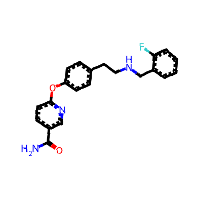 NC(=O)c1ccc(Oc2ccc(CCNCc3ccccc3F)cc2)nc1